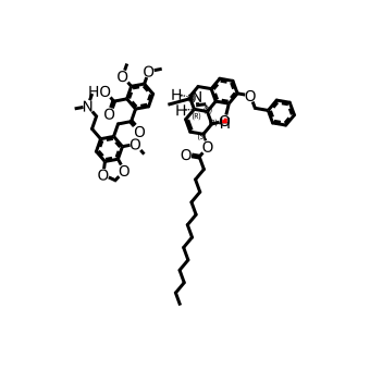 CCCCCCCCCCCCCC(=O)O[C@H]1C=C[C@H]2[C@H]3Cc4ccc(OCc5ccccc5)c5c4[C@@]2(CCN3C)[C@H]1O5.COc1ccc(C(=O)Cc2c(CCN(C)C)cc3c(c2OC)OCO3)c(C(=O)O)c1OC